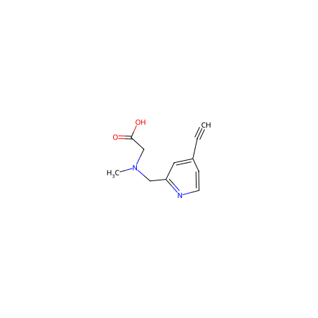 C#Cc1ccnc(CN(C)CC(=O)O)c1